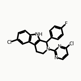 Fc1ccc(C2c3[nH]c4ccc(Cl)cc4c3CCN2c2nccc(Cl)n2)cc1